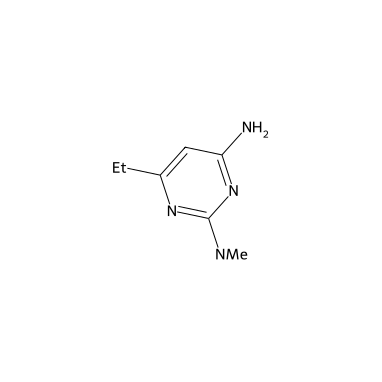 CCc1cc(N)nc(NC)n1